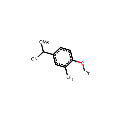 COC(N=O)c1ccc(OC(C)C)c(C(F)(F)F)c1